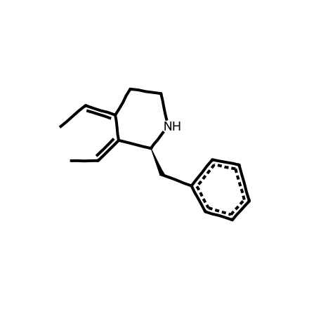 C/C=C1/CCN[C@@H](Cc2ccccc2)/C1=C/C